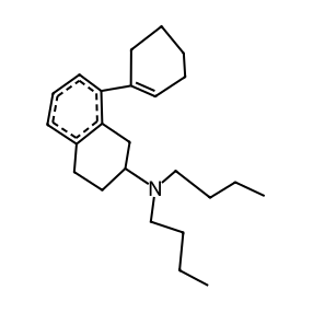 CCCCN(CCCC)C1CCc2cccc(C3=CCCCC3)c2C1